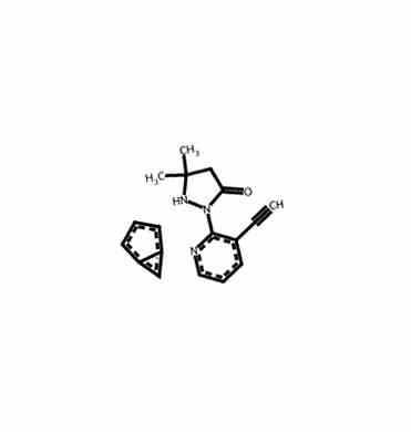 C#Cc1cccnc1N1NC(C)(C)CC1=O.c1cc2cc-2c1